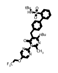 CCCCc1nc(C)n(-c2ncc(OCC(F)(F)F)cn2)c(=O)c1Cc1ccc(-c2ccccc2S(=O)(=O)NC(C)(C)C)cc1